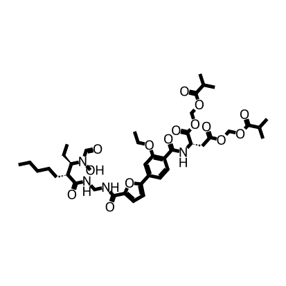 CCCCC[C@@H](C(=O)NCNC(=O)c1ccc(-c2ccc(C(=O)N[C@@H](CC(=O)OCOC(=O)C(C)C)C(=O)OCOC(=O)C(C)C)c(OCC)c2)o1)[C@@H](CC)N(O)C=O